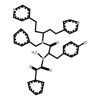 CN(C(=O)C(=O)c1ccccc1)C(Cc1ccc(Cl)cc1)C(=O)N(Cc1ccccc1)C(CCc1ccncc1)CCc1ccncc1